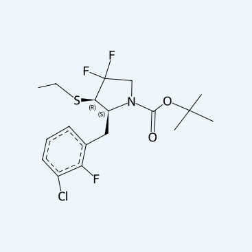 CCS[C@@H]1[C@H](Cc2cccc(Cl)c2F)N(C(=O)OC(C)(C)C)CC1(F)F